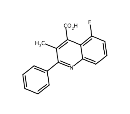 Cc1c(-c2ccccc2)nc2cccc(F)c2c1C(=O)O